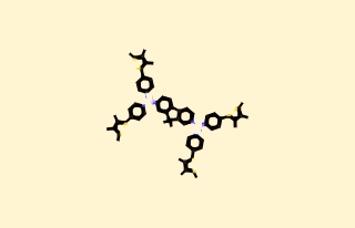 Cc1sc(-c2ccc(N(c3ccc(-c4sc(C)c(C)c4C)cc3)c3ccc4c(c3)C(C)(C)c3cc(N(c5ccc(-c6sc(C)c(C)c6C)cc5)c5ccc(-c6sc(C)c(C)c6C)cc5)ccc3-4)cc2)c(C)c1C